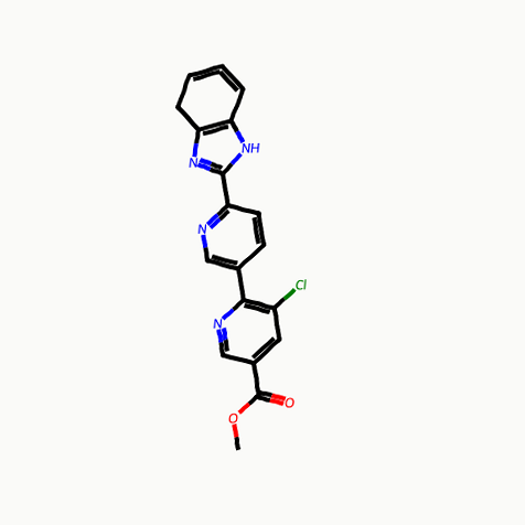 COC(=O)c1cnc(-c2ccc(-c3nc4c([nH]3)C=C=CC4)nc2)c(Cl)c1